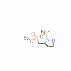 CCOP(=O)(Cc1ccnn1PI)OCC